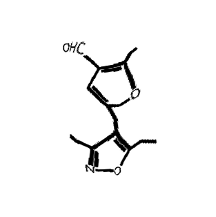 Cc1noc(C)c1-c1cc(C=O)c(C)o1